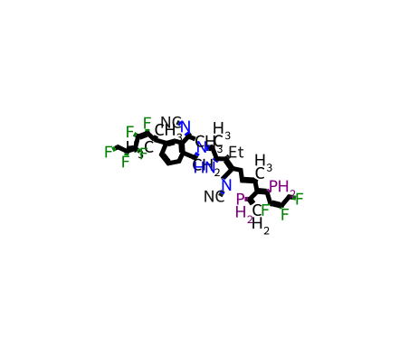 C=C(/N=C(/C)C(=N)/C(CC)=C(\C=N\C#N)C/C=C(C)/C(C(=C)P)=C(P)/C(F)=C(/F)CF)C1=C(/C(C)=N\C#N)C=C(C(C)(C)/C(F)=C(F)\C(F)=C(\F)CF)C=CC1